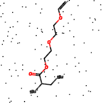 C=COCCOCCOC(=O)C(CC(C)(C)C)C(C)(C)C